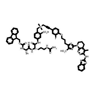 Cc1c(Nc2nc3ccccc3s2)nnc2c1CCCN2c1nc(C(=O)O)c(CCCOc2ccc(C#CC[N+](C)(C)Cc3ccc(NC(=O)[C@H](CCCNC(N)=O)NC(=N)[C@@H](NC(=O)OCC4c5ccccc5-c5ccccc54)C(C)C)cc3S(=O)(=O)O)cc2F)s1